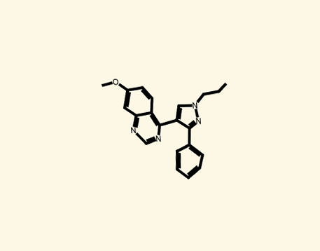 CCCn1cc(-c2ncnc3cc(OC)ccc23)c(-c2ccccc2)n1